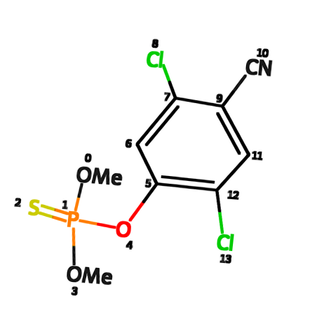 COP(=S)(OC)Oc1cc(Cl)c(C#N)cc1Cl